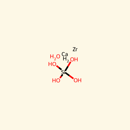 O.O[Si](O)(O)O.[CaH2].[Zr]